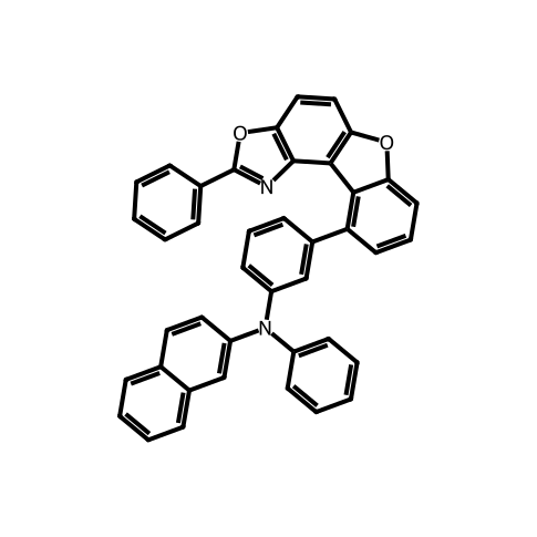 c1ccc(-c2nc3c(ccc4oc5cccc(-c6cccc(N(c7ccccc7)c7ccc8ccccc8c7)c6)c5c43)o2)cc1